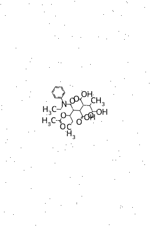 CCC(OC(C)=O)C(C(=O)N(CC)c1ccccc1)C(C(=O)O)C(C(=O)O)C(C)C(=O)O